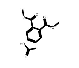 CC(=O)O.COC(=O)c1ccccc1C(=O)OC